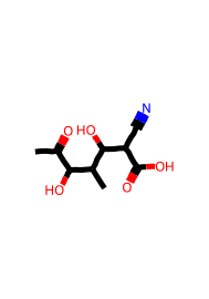 CC(=O)C(O)C(C)C(O)C(C#N)C(=O)O